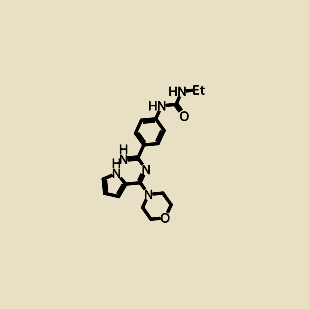 CCNC(=O)Nc1ccc(C(=N)/N=C(\c2ccc[nH]2)N2CCOCC2)cc1